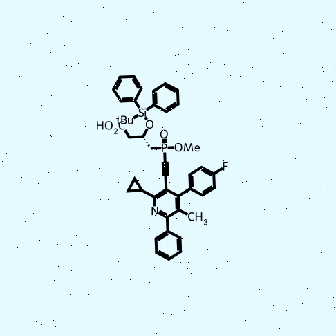 COP(=O)(C#Cc1c(C2CC2)nc(-c2ccccc2)c(C)c1-c1ccc(F)cc1)C[C@H](CC(=O)O)O[Si](c1ccccc1)(c1ccccc1)C(C)(C)C